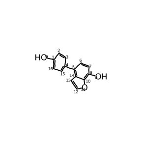 Oc1ccc(-c2ccc(O)c3occc23)cc1